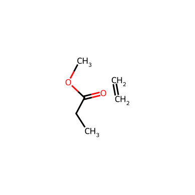 C=C.CCC(=O)OC